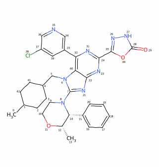 CC1CCC(Cn2c(N3CCO[C@@H](C)[C@H]3c3ccccc3)nc3nc(-c4n[nH]c(=O)o4)nc(-c4cncc(Cl)c4)c32)CC1